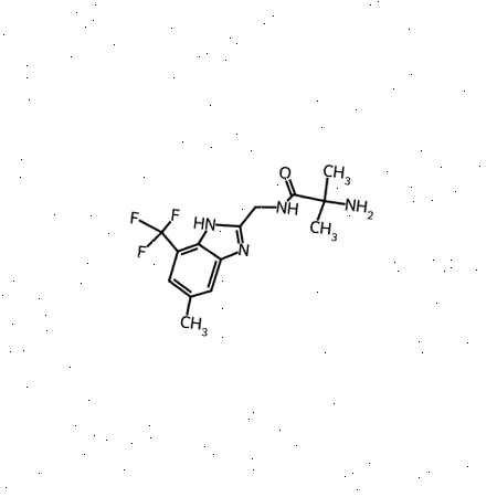 Cc1cc(C(F)(F)F)c2[nH]c(CNC(=O)C(C)(C)N)nc2c1